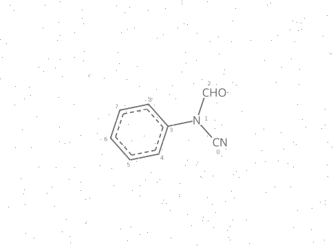 N#CN([C]=O)c1ccccc1